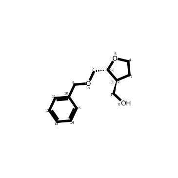 OC[C@@H]1CCO[C@H]1COCc1ccccc1